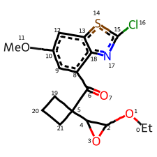 CCOC1OC1C1(C(=O)c2cc(OC)cc3sc(Cl)nc23)CCC1